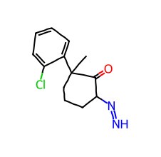 CC1(c2ccccc2Cl)CCCC(N=N)C1=O